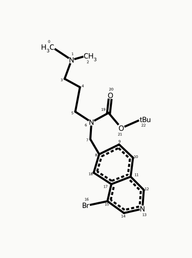 CN(C)CCCN(Cc1ccc2cncc(Br)c2c1)C(=O)OC(C)(C)C